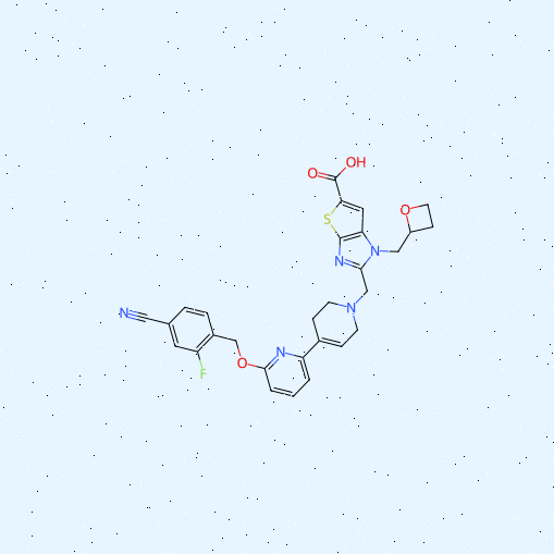 N#Cc1ccc(COc2cccc(C3=CCN(Cc4nc5sc(C(=O)O)cc5n4CC4CCO4)CC3)n2)c(F)c1